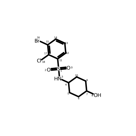 O=S(=O)(NC1CCC(O)CC1)c1cccc(Br)c1Cl